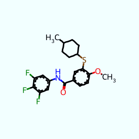 COc1ccc(C(=O)Nc2cc(F)c(F)c(F)c2)cc1SC1CCC(C)CC1